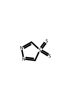 S=S1(=S)C=NN=C1